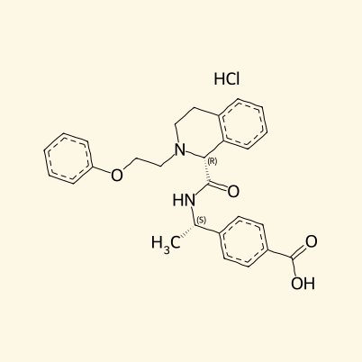 C[C@H](NC(=O)[C@H]1c2ccccc2CCN1CCOc1ccccc1)c1ccc(C(=O)O)cc1.Cl